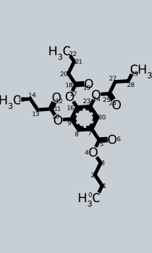 CCCCOC(=O)c1cc(OC(=O)CCC)c(OC(=O)CCC)c(OC(=O)CCC)c1